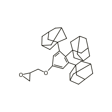 c1c(OCC2CO2)cc(C23CC4CC(CC(C4)C2)C3)c(C23CC4CC(CC(C4)C2)C3)c1C12CC3CC(CC(C3)C1)C2